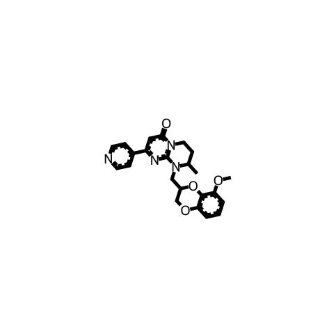 COc1cccc2c1OC(CN1c3nc(-c4ccncc4)cc(=O)n3CCC1C)CO2